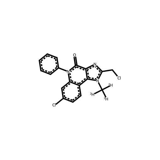 [2H]C([2H])([2H])n1c(CCl)nc2c(=O)n(-c3ccccc3)c3cc(Cl)ccc3c21